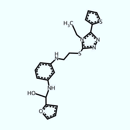 CCn1c(SCCNc2cccc(NC(O)c3ccco3)c2)nnc1-c1cccs1